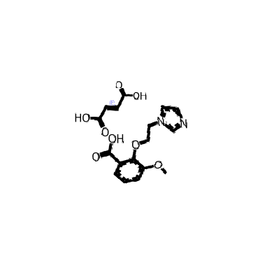 COc1cccc(C(=O)O)c1OCCn1ccnc1.O=C(O)/C=C/C(=O)O